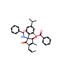 C/C=C\C1=C(C)C(=O)C(NC(=O)c2ccccc2)(c2ccc(C(C)C)cc2OC(=O)c2ccccc2)C1=O